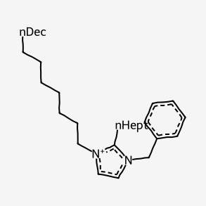 CCCCCCCCCCCCCCCCC[n+]1ccn(Cc2ccccc2)c1CCCCCCC